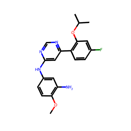 COc1ccc(Nc2cc(-c3ccc(F)cc3OC(C)C)ncn2)cc1N